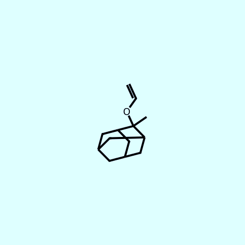 C=COC1(C)C2CC3CC(C2)CC1C3